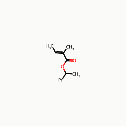 CC=C(C)C(=O)OC(C)C(C)C